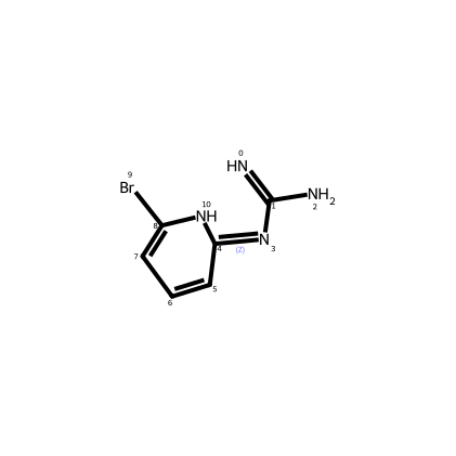 N=C(N)/N=c1/cccc(Br)[nH]1